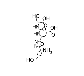 NC1(c2nnc([C@H](CCC(=O)O)NC(=O)N[C@@H](CO)C(=O)O)o2)CC(CO)C1